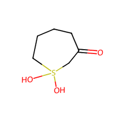 O=C1CCCCS(O)(O)C1